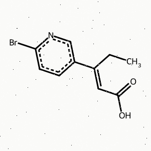 CC/C(=C\C(=O)O)c1ccc(Br)nc1